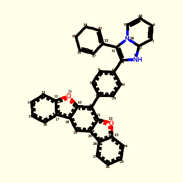 C1=CC2NC(c3ccc(-c4c5oc6ccccc6c5cc5c4oc4ccccc45)cc3)=C(C3=CCCC=C3)N2C=C1